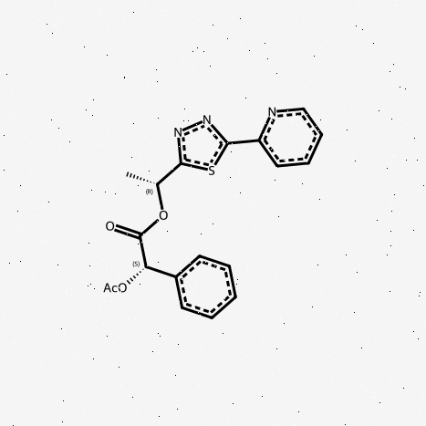 CC(=O)O[C@H](C(=O)O[C@H](C)c1nnc(-c2ccccn2)s1)c1ccccc1